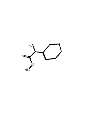 CC(C(=O)OO)C1CCCCC1